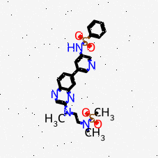 CN(CCN(C)S(C)(=O)=O)c1cnc2ccc(-c3cncc(NS(=O)(=O)c4ccccc4)c3)cc2n1